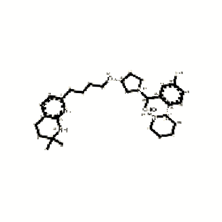 CC1(C)CCc2ccc(CCCCO[C@@H]3CCN(C(C=O)c4cc(F)ccc4[C@@H]4CCCCO4)C3)nc2N1